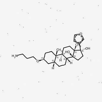 C[C@]12CC[C@H](OCCCN)C[C@H]1CC[C@@H]1[C@@H]2CC[C@]2(C)[C@@](O)(c3ccoc3)CC[C@]12O